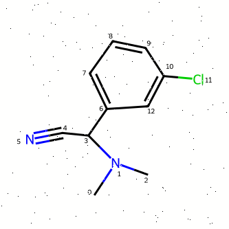 CN(C)C(C#N)c1cccc(Cl)c1